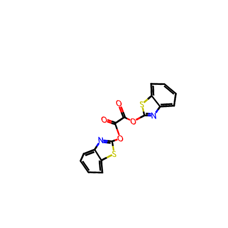 O=C(Oc1nc2ccccc2s1)C(=O)Oc1nc2ccccc2s1